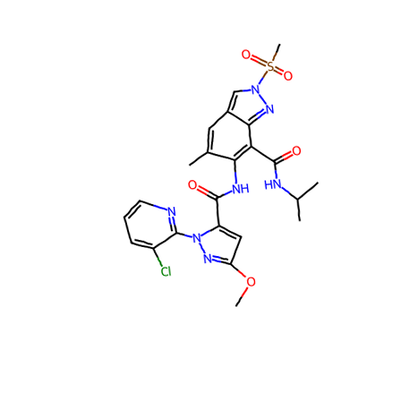 COc1cc(C(=O)Nc2c(C)cc3cn(S(C)(=O)=O)nc3c2C(=O)NC(C)C)n(-c2ncccc2Cl)n1